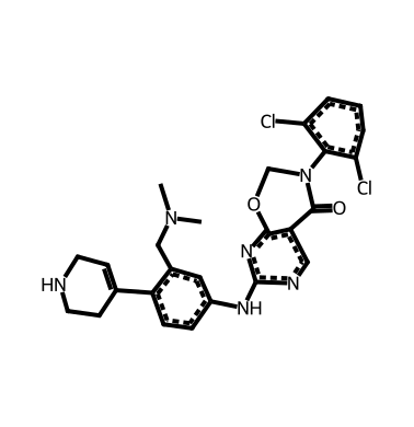 CN(C)Cc1cc(Nc2ncc3c(n2)OCN(c2c(Cl)cccc2Cl)C3=O)ccc1C1=CCNCC1